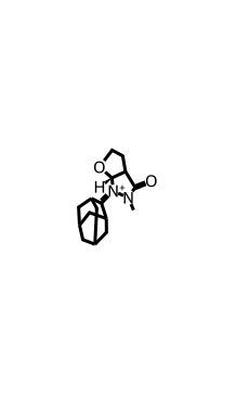 CN1C(=O)C2CCO[C@H]2[N+]1=C1C2CC3CC(C2)CC1C3